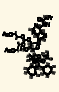 CC(=O)OCCOC(OCCOC(C)=O)OC1[C@@H](O)[C@@H](CO[Si](O[Si](C)(C)C)(O[Si](C)(C)C)C(c2ccccc2)c2ccccc2)O[C@H]1n1cnc2c(NC(=O)C(C)C)ncnc21